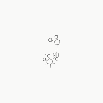 COc1c(C(=O)NCCCc2ccc(Cl)c(Cl)c2)c(C)c(C)n(C)c1=O